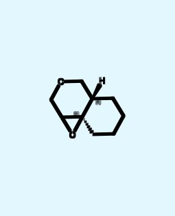 C1CC[C@]23OC2COC[C@@H]3C1